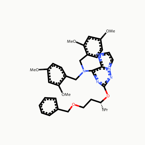 CCC[C@H](CCOCc1ccccc1)Oc1nc(N(Cc2ccc(OC)cc2OC)Cc2ccc(OC)cc2OC)c2nccn2n1